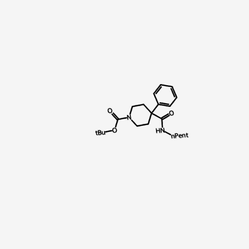 CCCCCNC(=O)C1(c2ccccc2)CCN(C(=O)OC(C)(C)C)CC1